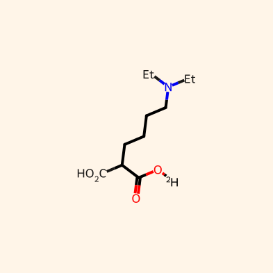 [2H]OC(=O)C(CCCCN(CC)CC)C(=O)O